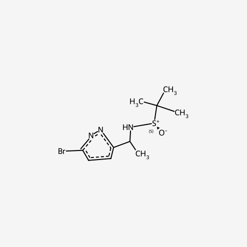 CC(N[S@+]([O-])C(C)(C)C)c1ccc(Br)nn1